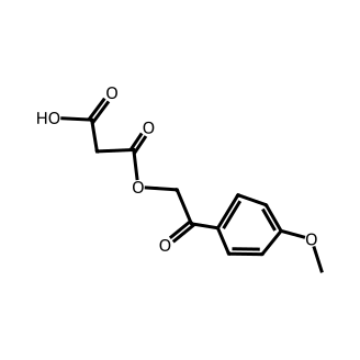 COc1ccc(C(=O)COC(=O)CC(=O)O)cc1